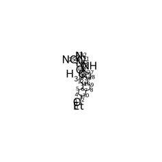 CCOCC1CCC2C(CCC3C2CCC2(C)C(C(=O)Nc4ccnc(C#N)n4)CCC32)C1